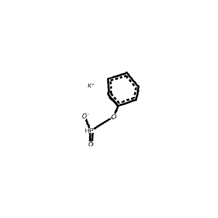 O=[PH]([O-])Oc1ccccc1.[K+]